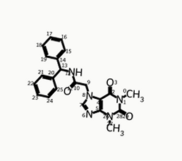 Cn1c(=O)c2c(ncn2CC(=O)NC(c2ccccc2)c2ccccc2)n(C)c1=O